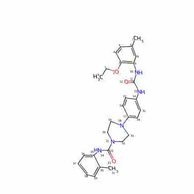 CCOc1ccc(C)cc1NC(=O)Nc1ccc(N2CCN(C(=O)Nc3ccccc3C)CC2)cc1